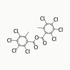 Cc1c(Cl)c(Cl)c(Cl)c(Cl)c1C(=O)OC(=O)c1c(C)c(Cl)c(Cl)c(Cl)c1Cl